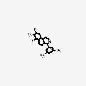 Cc1cc(C)cc(C2=NC=CC3=C4C=C(F)C(C)C(F)C4=CCC23)c1